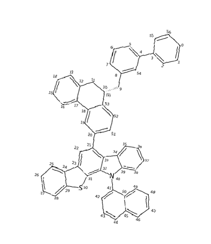 c1ccc(-c2cccc(C[C@H]3Cc4ccccc4-c4cc(-c5cc6c7ccccc7sc6c6c5c5ccccc5n6-c5cccc6ccccc56)ccc43)c2)cc1